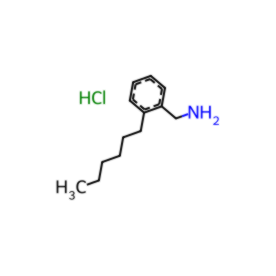 CCCCCCc1ccccc1CN.Cl